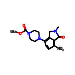 CN1Cc2c(N3CCN(C(=O)OC(C)(C)C)CC3)ccc([N+](=O)[O-])c2C1=O